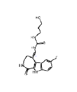 O=C(N/C=C1\CCNC(=O)c2[nH]c3ccc(F)cc3c21)NCCCO